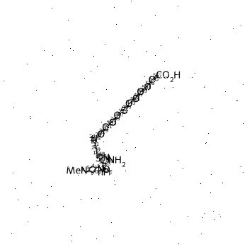 CCCN(Cc1ccc(CNC)cc1)C(=O)C1=Cc2sc(CCCCCN(C)CCOCCOCCOCCOCCOCCOCCOCCOCCOCCOCCC(=O)O)cc2N=C(N)C1